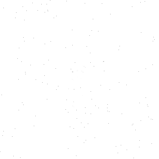 CCN1N=C(C(F)(F)F)C[C@@]1(C)C(=O)Nc1ccc(C#N)c(C(F)(F)F)c1